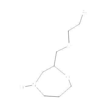 CC(=O)CCOCC1CN(C(C)C)CCCO1